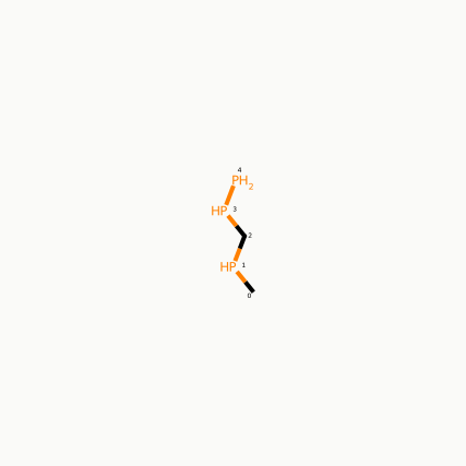 CPCPP